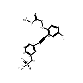 CC(C)(C)OC(=O)COc1ccc(Cl)cc1C#Cc1cccc(CS(C)(=O)=O)c1